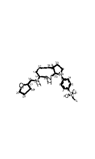 CS(=O)(=O)c1ccc(N2CCC3CCC(NCC4CCCO4)NC32)cc1